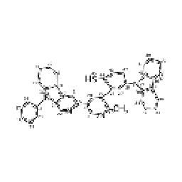 Cc1ncc(-c2cc3c4ccccc4n(-c4ccccc4)c3cn2)cc1-c1cc(-n2c3ccccc3c3ncccc32)ccc1S